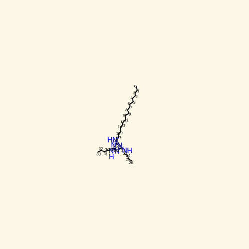 CCCCCCCCCCCCCCCCCCNc1nc(NCCCC)nc(NCCCC)n1